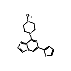 CN1CCN(c2nc(-c3cccs3)cn3cnnc23)CC1